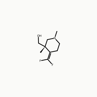 CN1CCC(=C(F)F)[C@](C)(CO)C1